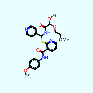 CCOC(OCCOC)C(=O)NC(Sc1ncccc1C(=O)Nc1ccc(OC(F)(F)F)cc1)c1ccncc1